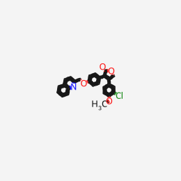 COc1ccc(C2=C(c3ccc(OCc4ccc5ccccc5n4)cc3)C(=O)OC2)cc1Cl